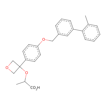 Cc1ccccc1-c1cccc(COc2ccc(C3(OC(C)C(=O)O)COC3)cc2)c1